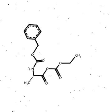 CCOC(=O)OC(=O)[C@H](C)NC(=O)OCc1ccccc1